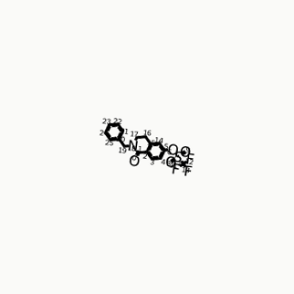 O=C1c2ccc(OS(=O)(=O)C(F)(F)F)cc2CCN1Cc1ccccc1